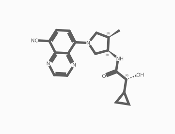 C[C@@H]1CN(c2ccc(C#N)c3nccnc23)C[C@@H]1NC(=O)[C@H](O)C1CC1